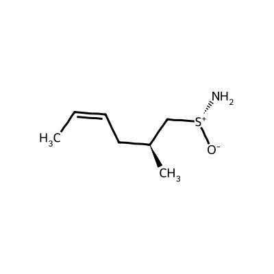 C/C=C\C[C@H](C)C[S@+](N)[O-]